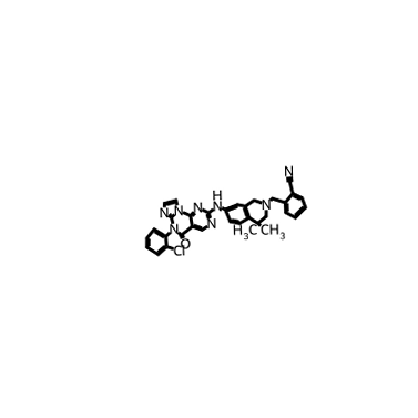 CC1(C)CN(Cc2ccccc2C#N)Cc2cc(Nc3ncc4c(=O)n(-c5ccccc5Cl)c5nccn5c4n3)ccc21